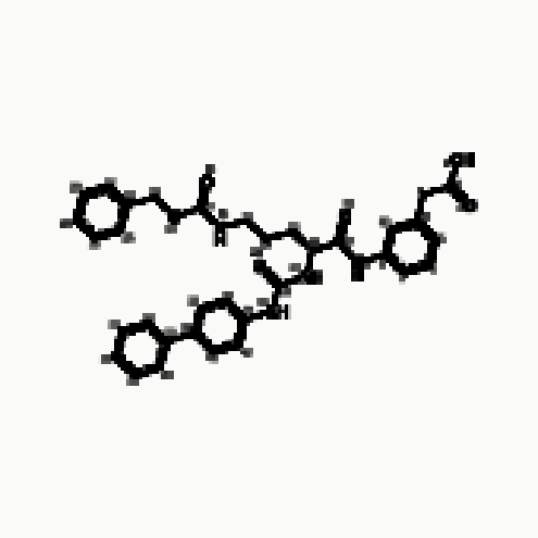 O=C(O)Cc1cccc(NC(=O)[C@H](CCCNC(=O)OCc2ccccc2)NC(=O)Nc2ccc(-c3ccccc3)cc2)c1